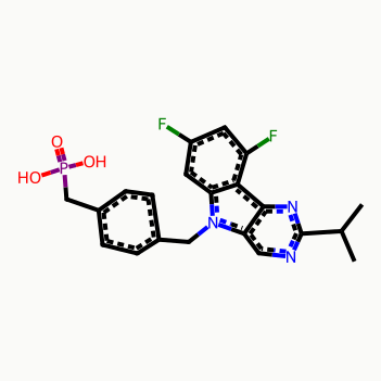 CC(C)c1ncc2c(n1)c1c(F)cc(F)cc1n2Cc1ccc(CP(=O)(O)O)cc1